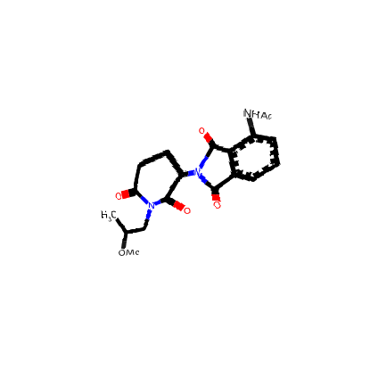 COC(C)CN1C(=O)CCC(N2C(=O)c3cccc(NC(C)=O)c3C2=O)C1=O